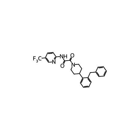 O=C(Nc1ccc(C(F)(F)F)cn1)C(=O)N1CCC(c2ccccc2Cc2ccccc2)CC1